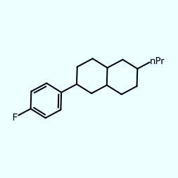 CCCC1CCC2CC(c3ccc(F)cc3)CCC2C1